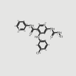 CCNC(=O)Nc1cc(Nc2cccc(Cl)c2)c(C(=O)Nc2cccnc2)cn1